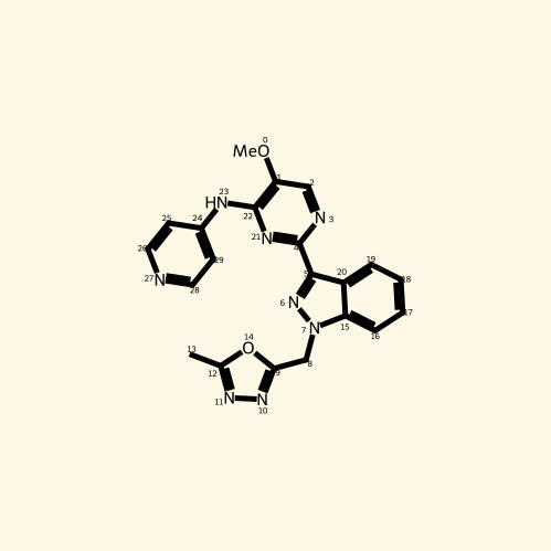 COc1cnc(-c2nn(Cc3nnc(C)o3)c3ccccc23)nc1Nc1ccncc1